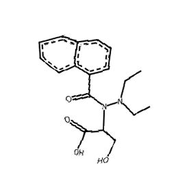 CCN(CC)N(C(=O)c1cccc2ccccc12)C(CO)C(=O)O